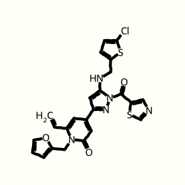 C=Cc1cc(-c2cc(NCc3ccc(Cl)s3)n(C(=O)c3cncs3)n2)cc(=O)n1Cc1ccco1